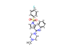 CN1CCN(c2nc3ccccc3c3c2ccn3S(=O)(=O)c2ccc(F)cc2)CC1